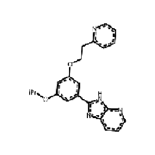 CC(C)Oc1cc(OCCc2ccccn2)cc(-c2nc3cccnc3[nH]2)c1